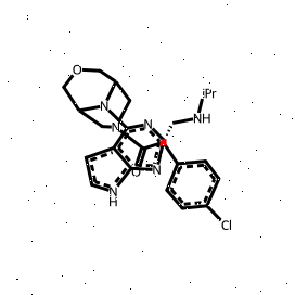 CC(C)NC[C@@H](C(=O)N1CC2COCC(C1)N2c1ncnc2[nH]ccc12)c1ccc(Cl)cc1